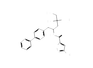 CC(CO)(CC(Cc1ccc(-c2ccccc2)cc1)NC(=O)c1cc(O)no1)C(=O)O